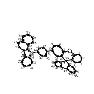 c1ccc2c(c1)Oc1ccc(-c3ccc(-n4c5ccccc5c5ccc6ccccc6c54)cc3)cc1C21c2ccccc2-c2ccccc21